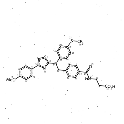 COc1ccc(-c2csc(N(Cc3ccc(C(=O)NCCC(=O)O)cc3)c3ccc(SC(F)(F)F)cc3)n2)cc1